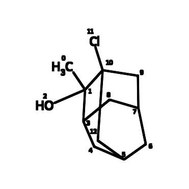 CC1(O)C2CC3CC(C2)CC1(Cl)C3